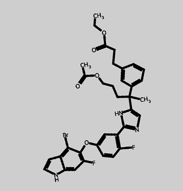 CCOC(=O)CCc1cccc(C(C)(CCCOC(C)=O)c2cnc(-c3cc(Oc4c(F)cc5[nH]ccc5c4Br)ccc3F)[nH]2)c1